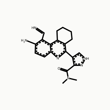 CN(C)C(=O)c1n[nH]cc1-c1nc2ccc(N)c(C=N)c2c2c1CCCC2